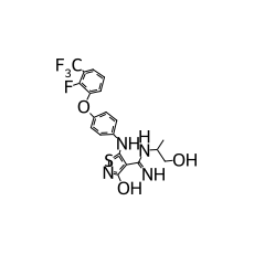 CC(CO)NC(=N)c1c(O)nsc1Nc1ccc(Oc2cccc(C(F)(F)F)c2F)cc1